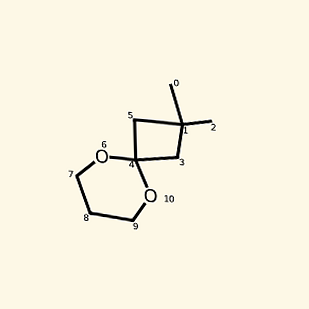 CC1(C)CC2(C1)OCCCO2